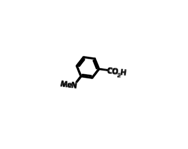 CNc1cccc(C(=O)O)c1